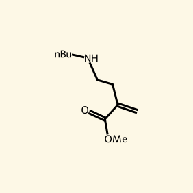 C=C(CCNCCCC)C(=O)OC